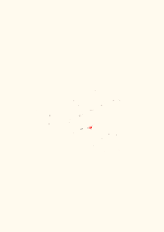 CC(=O)OC(=O)[C@@](O)(OC(C)=O)[C@](O)(OC(C)=O)[C@](O)(OC(=O)c1ccccc1)[C@H](O)CO